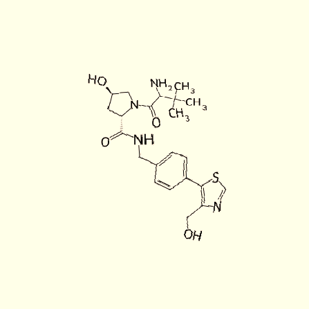 CC(C)(C)C(N)C(=O)N1C[C@H](O)C[C@H]1C(=O)NCc1ccc(-c2scnc2CO)cc1